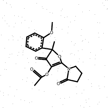 COc1ccccc1C1(C)OC(N2CCCC2=O)=C(OC(C)=O)C1=O